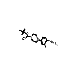 Cc1cc(N2CCN(C(=O)OC(C)(C)C)CC2)ccc1N